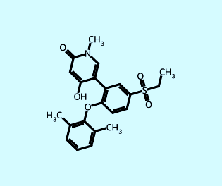 CCS(=O)(=O)c1ccc(Oc2c(C)cccc2C)c(-c2cn(C)c(=O)cc2O)c1